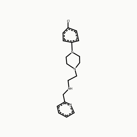 Clc1ccc(N2CCN(CCNCc3ccccn3)CC2)cc1